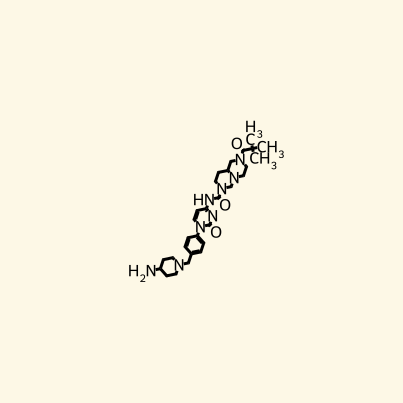 CC(C)(C)C(=O)N1CCN2CN(C(=O)Nc3ccn(-c4ccc(CN5CCC(N)CC5)cc4)c(=O)n3)CCC2C1